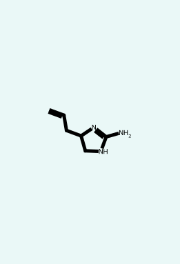 C=CCC1CNC(N)=N1